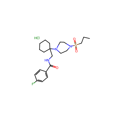 CCCS(=O)(=O)N1CCN(C2(CNC(=O)c3ccc(F)cc3)CCCCC2)CC1.Cl